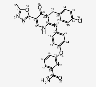 Cc1nnc(-c2c[nH]/c(=N\c3ccc(Oc4cccc(C(N)=O)n4)cc3)n(Cc3ccc(Cl)cc3)c2=O)o1